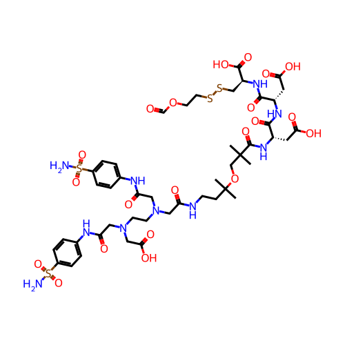 CC(C)(CCNC(=O)CN(CCN(CC(=O)O)CC(=O)Nc1ccc(S(N)(=O)=O)cc1)CC(=O)Nc1ccc(S(N)(=O)=O)cc1)OCC(C)(C)C(=O)N[C@@H](CC(=O)O)C(=O)N[C@@H](CC(=O)O)C(=O)N[C@@H](CSSCCOC=O)C(=O)O